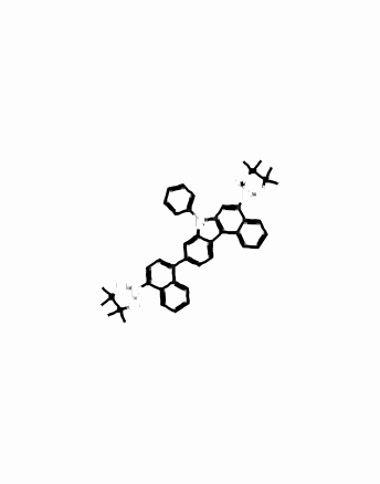 CC1(C)OB(c2ccc(-c3ccc4c5c6ccccc6c(B6OC(C)(C)C(C)(C)O6)cc5n(-c5ccccc5)c4c3)c3ccccc23)OC1(C)C